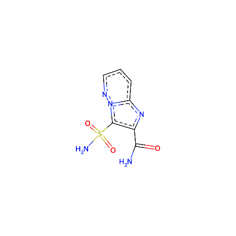 NC(=O)c1nc2cccnn2c1S(N)(=O)=O